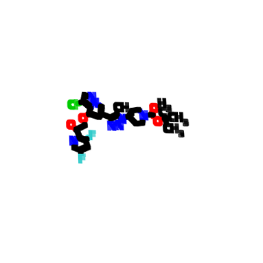 Cc1c(-c2cc(OCC(=O)c3ncc(F)cc3F)c3c(Cl)cnn3c2)nnn1C1CCN(C(=O)OC(C)(C)C)CC1